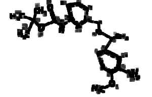 COc1ccc(C(C)OCc2cccc(NC(=O)OC(C)(C)C)n2)cc1N